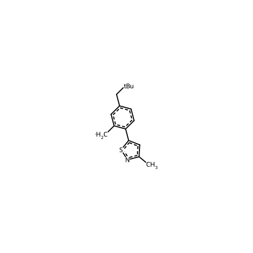 [CH2]c1cc(CC(C)(C)C)ccc1-c1cc(C)ns1